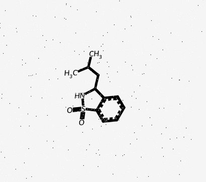 CC(C)CC1NS(=O)(=O)c2ccccc21